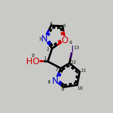 OC(c1ncco1)c1ncccc1I